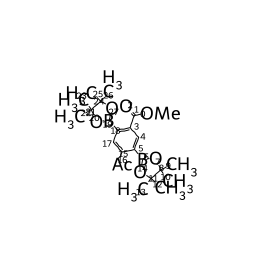 COC(=O)c1cc(B2OC(C)(C)C(C)(C)O2)c(C(C)=O)cc1B1OC(C)(C)C(C)(C)O1